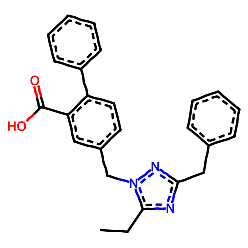 CCc1nc(Cc2ccccc2)nn1Cc1ccc(-c2ccccc2)c(C(=O)O)c1